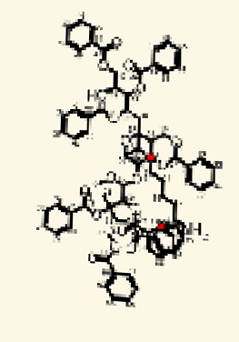 COC(OC1C2OC(c3ccccc3)OCC2C2(C[C@@H](OCc3ccccc3)C(OC(=O)c3ccccc3)C(O)COC(=O)c3ccccc3)OC1C2OCCCCCN)C(OC(=O)c1ccccc1)C(C)(OC(=O)c1ccccc1)[C@@H](COC(=O)c1ccccc1)OC(=O)c1ccccc1